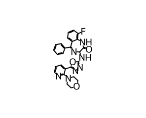 O=C1Nc2c(F)cccc2C(c2ccccc2)=NC1Nc1nnc(-c2cccnc2N2CCOCC2)o1